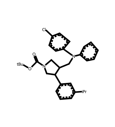 CC(C)c1cccc(C2CN(C(=O)OC(C)(C)C)CC2CN(c2ccccc2)c2ccc(Cl)cc2)c1